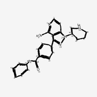 Nc1nccc2c1c(-c1ccc(C(=O)Nc3ccccc3)cc1)nn2[C@@H]1CCCNC1